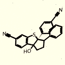 N#Cc1ccc([C@@]23Sc4cc(C#N)ccc4C2(O)CCC3c2ccccc2)cc1